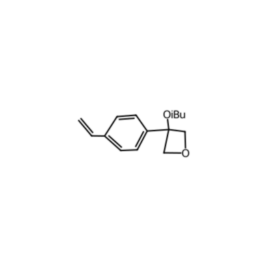 C=Cc1ccc(C2(OCC(C)C)COC2)cc1